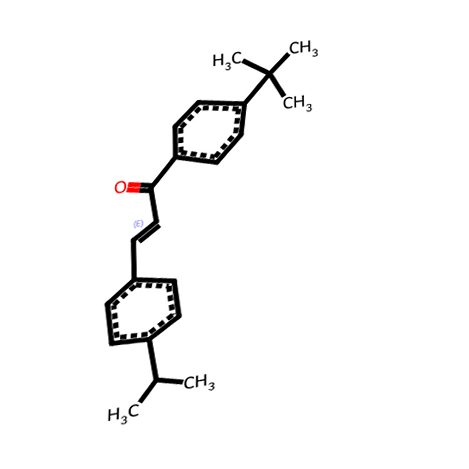 CC(C)c1ccc(/C=C/C(=O)c2ccc(C(C)(C)C)cc2)cc1